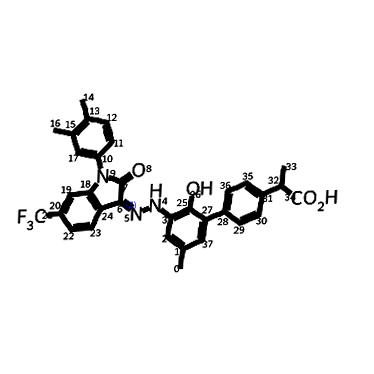 Cc1cc(N/N=C2\C(=O)N(c3ccc(C)c(C)c3)c3cc(C(F)(F)F)ccc32)c(O)c(-c2ccc(C(C)C(=O)O)cc2)c1